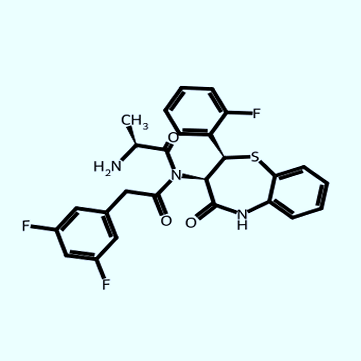 C[C@H](N)C(=O)N(C(=O)Cc1cc(F)cc(F)c1)[C@@H]1C(=O)Nc2ccccc2S[C@@H]1c1ccccc1F